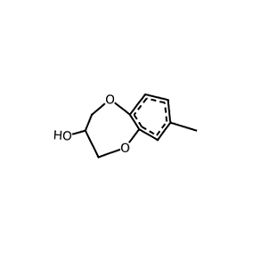 Cc1ccc2c(c1)OCC(O)CO2